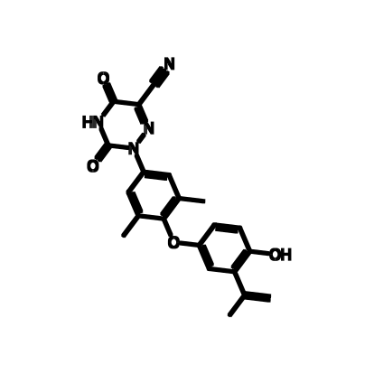 C=C(C)c1cc(Oc2c(C)cc(-n3nc(C#N)c(=O)[nH]c3=O)cc2C)ccc1O